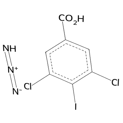 O=C(O)c1cc(Cl)c(I)c(Cl)c1.[N-]=[N+]=N